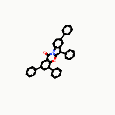 O=c1c2cc(-c3ccccc3)cc(-c3ccccc3)c2oc2c(-c3ccccc3)c3cc(-c4ccccc4)ccc3n12